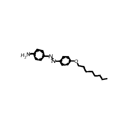 CCCCCCCCOc1ccc(N=Nc2ccc(N)cc2)cc1